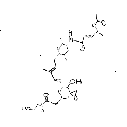 CC(=O)O[C@@H](C)C=CC(=O)N[C@@H]1C[C@H](C)[C@H](CC=C(C)C=C[C@H]2O[C@H](CC(=O)NCCO)C[C@@]3(CO3)[C@@H]2O)O[C@@H]1C